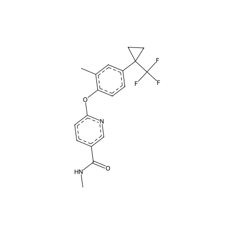 CNC(=O)c1ccc(Oc2ccc(C3(C(F)(F)F)CC3)cc2C)nc1